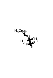 CNCOC(C)(C)C(F)(F)F